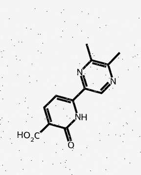 Cc1ncc(-c2ccc(C(=O)O)c(=O)[nH]2)nc1C